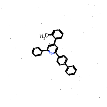 Cc1ccccc1-c1cc(-c2ccccc2)nc(-c2ccc(-c3ccccc3)cc2)c1